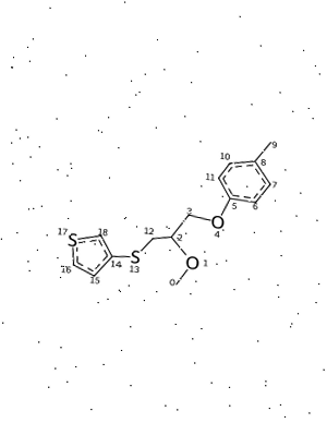 COC(COc1ccc(C)cc1)CSc1ccsc1